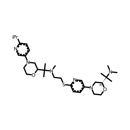 CC(C)c1ccc(N2CCOC(C(C)(C)N(C)CCSc3ccc(N4CCO[C@@H](C(C)(C)N(C)C)C4)cn3)C2)cn1